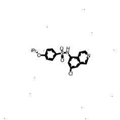 CC(C)Oc1ccc(S(=O)(=O)Nc2cc(Cl)cc3cnccc23)cc1